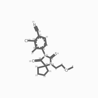 COCCN1C(=S)N(c2ccc(C#N)c(Cl)c2C)C(=O)C12CCCC2